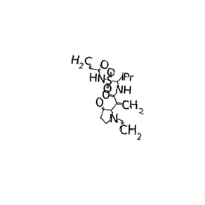 C=CC(=O)NS(=O)(=O)C(NC(=O)C(=C)C1C(=O)CCN1C=C)C(C)C